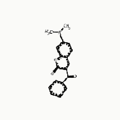 CN(C)c1ccc2cc(C(=O)c3ccccc3)c(=O)oc2c1